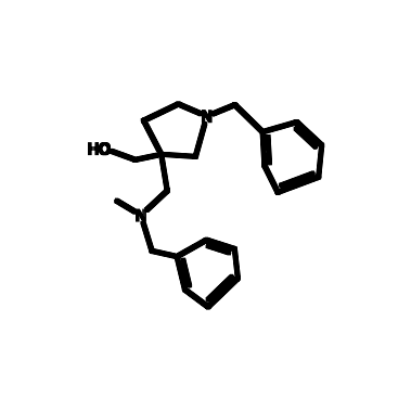 CN(Cc1ccccc1)CC1(CO)CCN(Cc2ccccc2)C1